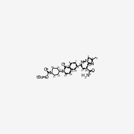 Cc1cn2nc(-c3ccc4c(=O)n(C5CCN(C(=O)OC(C)(C)C)CC5)ccc4c3)cc(C(N)=O)c2n1